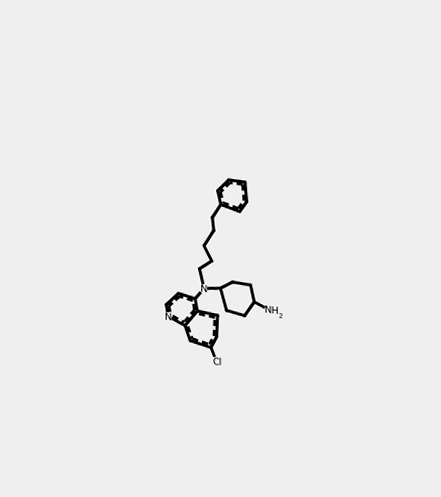 NC1CCC(N(CCCCCc2ccccc2)c2ccnc3cc(Cl)ccc23)CC1